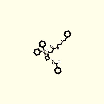 CC(C)(C)[Si](OC(CC(=O)NCCSCc1ccccc1)[C@@H]1CC[C@H]1COC(=O)c1ccccc1)(c1ccccc1)c1ccccc1